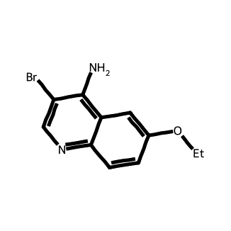 CCOc1ccc2ncc(Br)c(N)c2c1